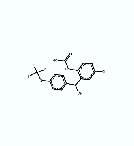 O=C(O)Nc1ccc(Cl)cc1C(O)c1ccc(OC(F)(F)F)cc1